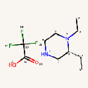 CC[C@@H]1CNCCN1CC.O=C(O)C(F)(F)F